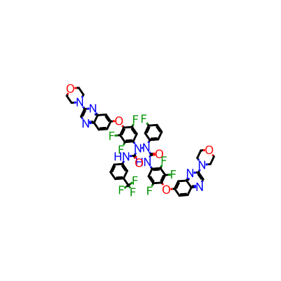 O=C(Nc1cc(F)c(Oc2ccc3ncc(N4CCOCC4)nc3c2)c(F)c1F)N(c1cccc(F)c1)N(C(=O)Nc1cccc(C(F)(F)F)c1)c1cc(F)c(Oc2ccc3ncc(N4CCOCC4)nc3c2)c(F)c1F